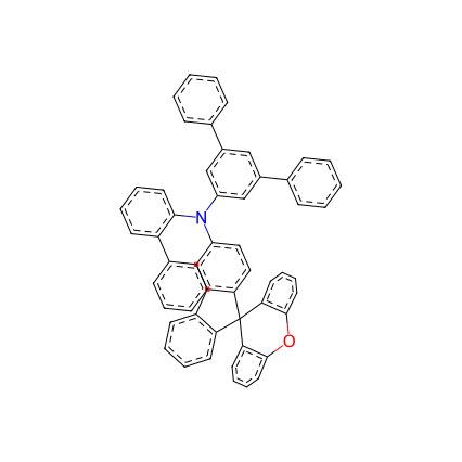 c1ccc(-c2cc(-c3ccccc3)cc(N(c3ccc4c(c3)-c3ccccc3C43c4ccccc4Oc4ccccc43)c3ccccc3-c3ccccc3)c2)cc1